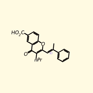 CCCc1c(/C=C(\C)c2ccccc2)oc2ccc(C(=O)O)cc2c1=O